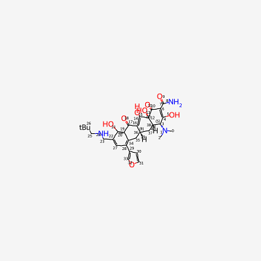 CN(C)[C@@H]1C(O)=C(C(N)=O)C(=O)[C@@]2(O)C(O)=C3C(=O)c4c(O)c(CNCC(C)(C)C)cc(-c5ccoc5)c4C[C@H]3C[C@@H]12